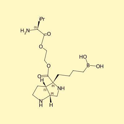 CC(C)[C@H](N)C(=O)OCCOC(=O)[C@]1(CCCCB(O)O)NC[C@@H]2NCC[C@@H]21